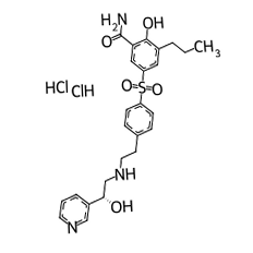 CCCc1cc(S(=O)(=O)c2ccc(CCNC[C@H](O)c3cccnc3)cc2)cc(C(N)=O)c1O.Cl.Cl